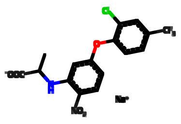 CC(Nc1cc(Oc2ccc(C(F)(F)F)cc2Cl)ccc1[N+](=O)[O-])C(=O)[O-].[Na+]